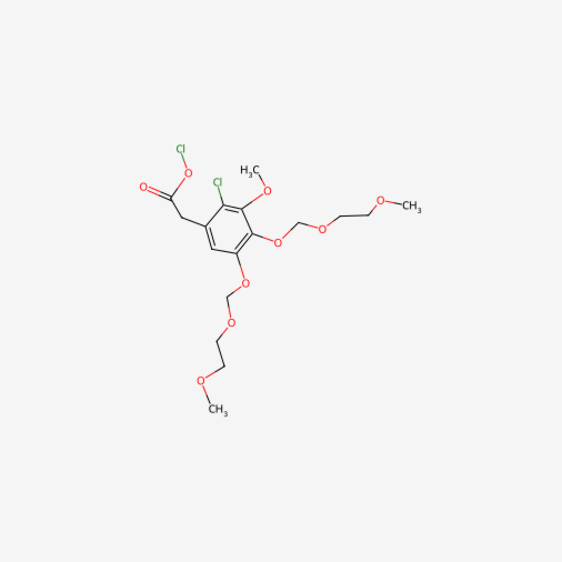 COCCOCOc1cc(CC(=O)OCl)c(Cl)c(OC)c1OCOCCOC